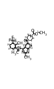 CCOC(=O)N1CCP(=O)(c2cc3c(N[C@H](C)c4cccc(C(F)(F)F)c4C)nc(C)nc3cn2)CC1